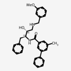 COc1cccc(CNC[C@@H](O)[C@H](Cc2ccccc2)NC(=O)c2cc(C)cc(-c3ccccc3)c2)c1